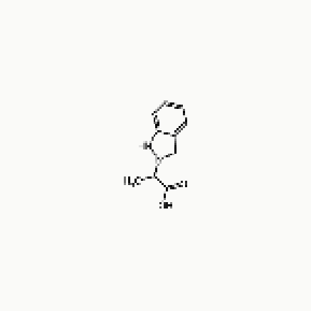 CC(C(=O)O)N1Cc2ccccc2N1